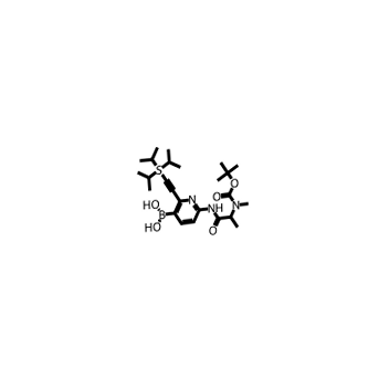 CC(C(=O)Nc1ccc(B(O)O)c(C#CS(C(C)C)(C(C)C)C(C)C)n1)N(C)C(=O)OC(C)(C)C